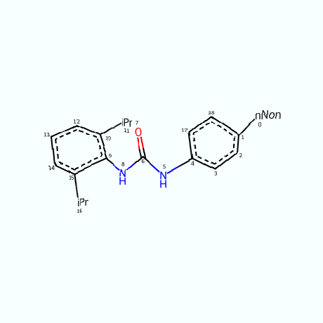 CCCCCCCCCc1ccc(NC(=O)Nc2c(C(C)C)cccc2C(C)C)cc1